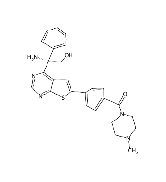 CN1CCN(C(=O)c2ccc(-c3cc4c([C@](N)(CO)c5ccccc5)ncnc4s3)cc2)CC1